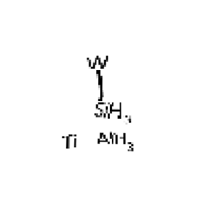 [AlH3].[SiH3][W].[Ti]